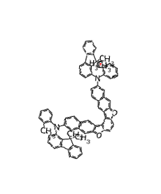 Cc1ccccc1N(c1ccc2cc3c(cc2c1)oc1ccc2oc4cc5cc(N(c6ccccc6C)c6cccc7c6C(C)(C)c6ccccc6-7)ccc5cc4c2c13)c1cccc2c1C(C)(C)c1ccccc1-2